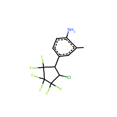 Cc1cc(C2C(Cl)C(F)(F)C(F)(F)C2(F)F)ccc1N